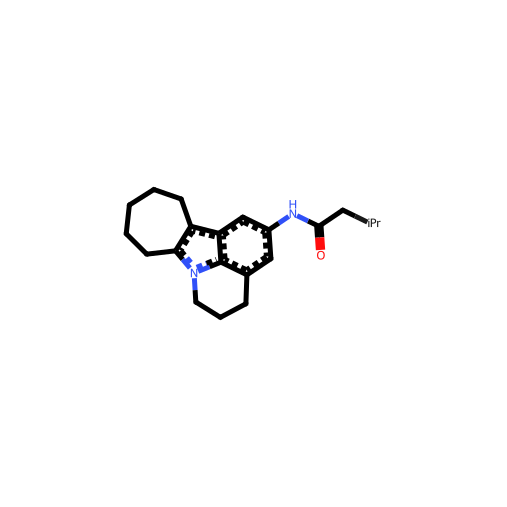 CC(C)CC(=O)Nc1cc2c3c(c1)c1c(n3CCC2)CCCCC1